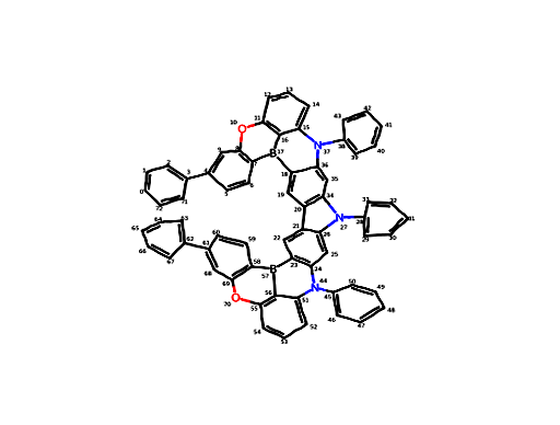 c1ccc(-c2ccc3c(c2)Oc2cccc4c2B3c2cc3c5cc6c(cc5n(-c5ccccc5)c3cc2N4c2ccccc2)N(c2ccccc2)c2cccc3c2B6c2ccc(-c4ccccc4)cc2O3)cc1